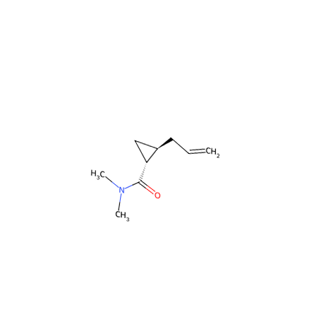 C=CC[C@@H]1C[C@H]1C(=O)N(C)C